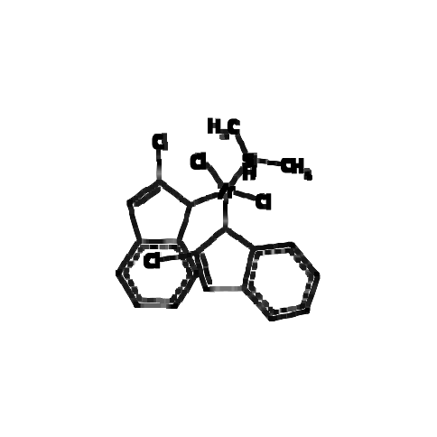 C[SiH](C)[Zr]([Cl])([Cl])([CH]1C(Cl)=Cc2ccccc21)[CH]1C(Cl)=Cc2ccccc21